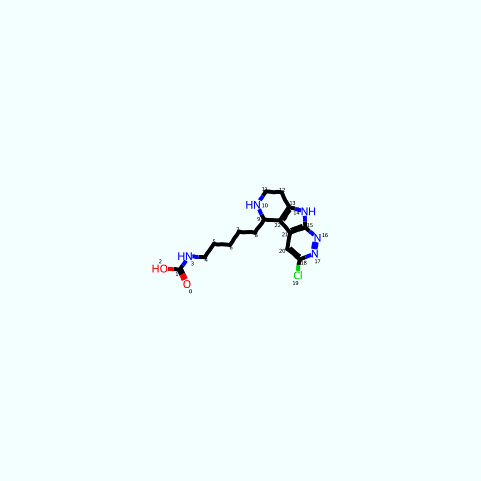 O=C(O)NCCCCCC1NCCc2[nH]c3nnc(Cl)cc3c21